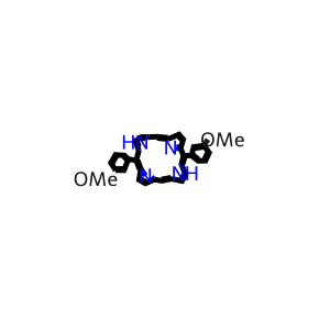 COc1cccc(-c2c3nc(cc4ccc([nH]4)c(-c4cccc(OC)c4)c4nc(cc5ccc2[nH]5)C=C4)C=C3)c1